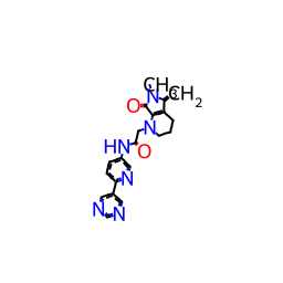 C=C1C2=C(C(=O)N1C)N(CC(=O)Nc1ccc(-c3cncnc3)nc1)CCC2